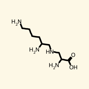 NCCCCC(N)CNCC(N)C(=O)O